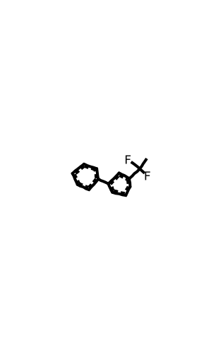 CC(F)(F)c1cccc(-c2ccccc2)c1